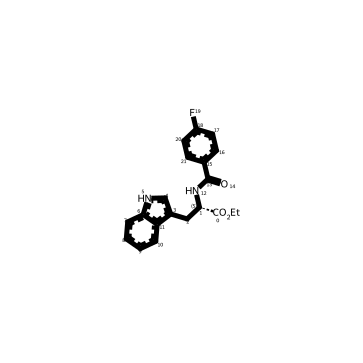 CCOC(=O)[C@H](Cc1c[nH]c2ccccc12)NC(=O)c1ccc(F)cc1